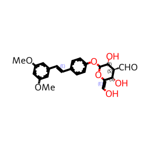 COc1cc(/C=C/c2ccc(OC3O/C(=C/O)[C@@H](O)[C@H](C=O)[C@H]3O)cc2)cc(OC)c1